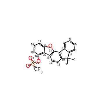 CC1(C)c2ccccc2-c2c1ccc1c2oc2cccc(OS(=O)(=O)C(F)(F)F)c21